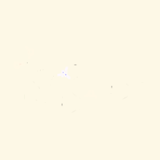 COC(=O)c1cc(-n2c(C)ccc2-c2cc(Cl)ccc2OCc2ccc(Br)cc2F)cc(C(F)(F)F)c1